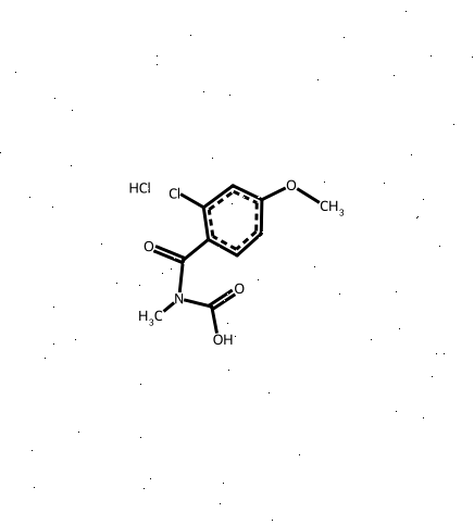 COc1ccc(C(=O)N(C)C(=O)O)c(Cl)c1.Cl